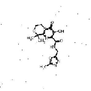 Cc1nnc(CNC(=O)c2nc3n(c(=O)c2O)CCOC3(C)C)o1